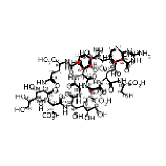 Nc1nc2ncc(CNc3ccc(C(=O)N[C@@H](CCC(=O)N[C@H](C(=O)N[C@@H](CC(=O)O)C(=O)N[C@H](C(=O)N[C@@H](CC(=O)O)C(=O)N[C@H](C(=O)N[C@@H](CC(=O)O)C(=O)N[C@H](C(=O)N[C@@H](CS)C(=O)O)[C@@H](O)[C@H](O)[C@H](O)CO)[C@@H](O)[C@H](O)[C@H](O)CO)[C@@H](O)[C@H](O)[C@H](O)CO)[C@@H](O)[C@H](O)[C@H](O)CO)C(=O)O)cc3)nc2c(=O)[nH]1